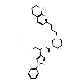 Cl.O=C(O)CC(NC(=O)[C@@H]1CCCN(CCCc2ccc3c(n2)NCCC3)C1)c1cnn(-c2ccccc2)c1